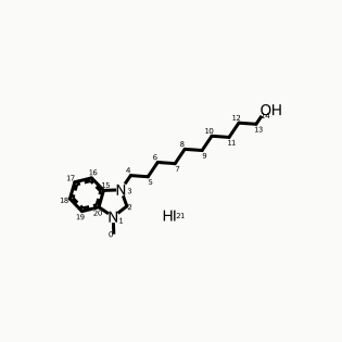 CN1CN(CCCCCCCCCCO)c2ccccc21.I